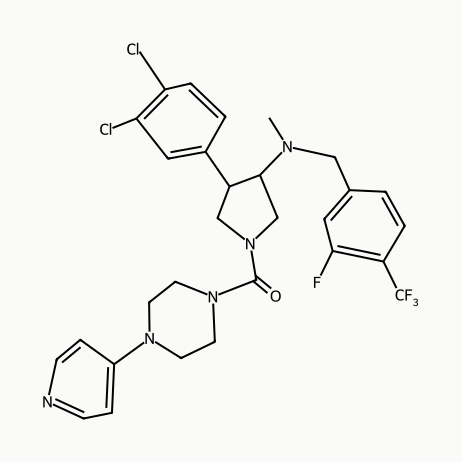 CN(Cc1ccc(C(F)(F)F)c(F)c1)C1CN(C(=O)N2CCN(c3ccncc3)CC2)CC1c1ccc(Cl)c(Cl)c1